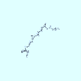 CC(/C=C/C=C/C1CC1/C=C/CCC(=O)OF)CCCN